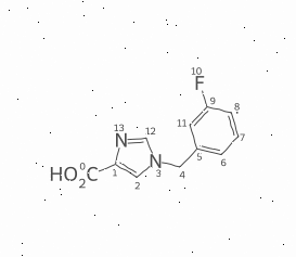 O=C(O)c1cn(Cc2cc[c]c(F)c2)cn1